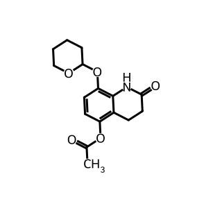 CC(=O)Oc1ccc(OC2CCCCO2)c2c1CCC(=O)N2